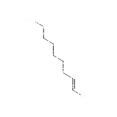 CCCCCCCCCC=CCCCCCCCCCCCCCCCC